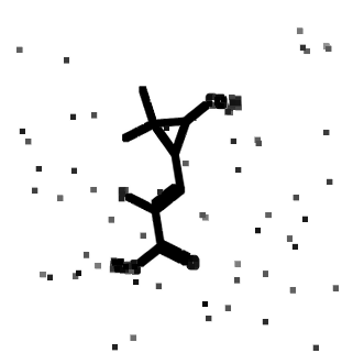 CSC(=O)C(F)=CC1C(C(=O)O)C1(C)C